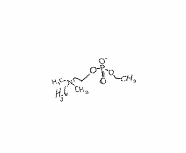 CCOP(=O)([O-])OCC[N+](C)(C)C